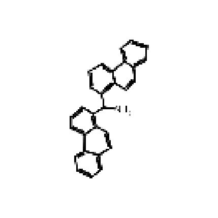 NC(c1cccc2c1ccc1ccccc12)c1cccc2c1ccc1ccccc12